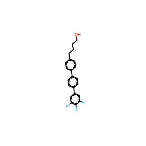 OCCCCc1ccc(-c2ccc(-c3cc(F)c(F)c(F)c3)cc2)cc1